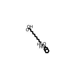 CC1(NC(=O)NCCCCCCCCCCCC(=O)O)CC2CCCC(C2)C1